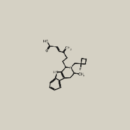 C=C(/C=C/C(=O)O)CCC1c2[nH]c3ccccc3c2CC(C)N1CC1(F)CCC1